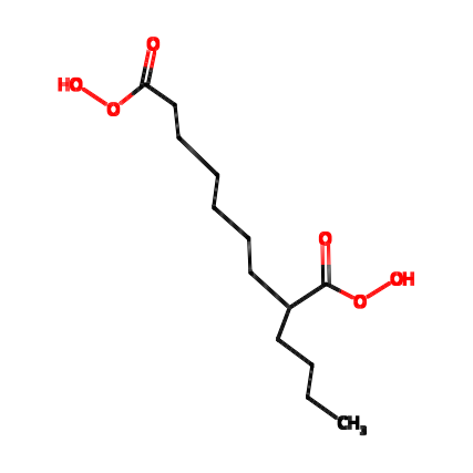 CCCCC(CCCCCCC(=O)OO)C(=O)OO